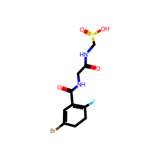 O=C(CNC(=O)C1=C(F)CCC(Br)=C1)NCS(=O)O